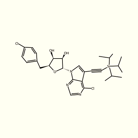 CC(C)[Si](C#Cc1cn([C@@H]2O[C@@H]([CH]c3ccc(Cl)cc3)[C@@H](O)[C@H]2O)c2ncnc(Cl)c12)(C(C)C)C(C)C